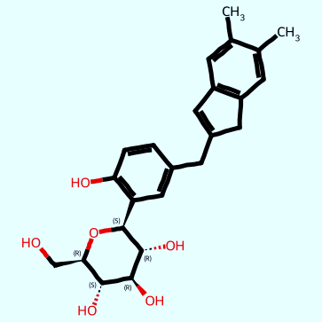 Cc1cc2c(cc1C)CC(Cc1ccc(O)c([C@@H]3O[C@H](CO)[C@@H](O)[C@H](O)[C@H]3O)c1)=C2